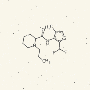 CCCN1CCCCC1C(=O)Nc1c(C)csc1C(F)F